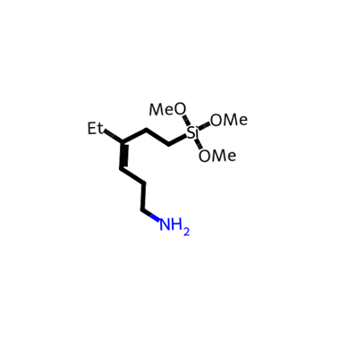 CCC(=CCCN)CC[Si](OC)(OC)OC